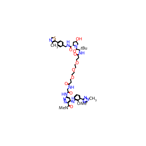 CNC(=O)c1nnc(NC(=O)CNC(=O)CCOCCOCCOCCC(=O)N[C@H](C(=O)N2C[C@H](O)C[C@H]2C(=O)NCc2ccc(-c3scnc3C)cc2)C(C)(C)C)cc1Nc1cccc(-c2ncn(C)n2)c1OC